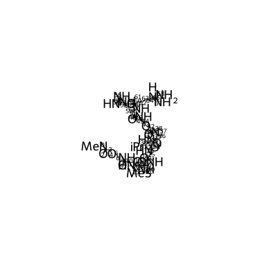 CNC(=O)COCCNC(=O)CNC(=O)[C@H](C)NC(=O)[C@H](CSC)NC(=O)CNC(=O)[C@H](CC(C)C)NC(=O)[C@@H]1CCCN1C(=O)COCCNC(=O)[C@@H](CCCNC(=N)N)NC(=O)[C@H](C)CCCNC(=N)N